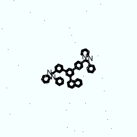 c1ccc(-c2nc3ccccn3c2-c2ccc(-c3cc(-c4cccc(-c5nc6ccccc6n5-c5ccccc5)c4)cc(-c4cccc5ccccc45)c3)cc2)cc1